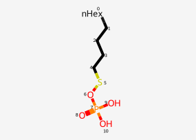 CCCCCCCCCCSOP(=O)(O)O